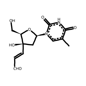 Cc1cn([C@H]2C[C@](O)(C=CC=O)[C@@H](CO)O2)c(=O)[nH]c1=O